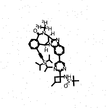 [2H]C([2H])([2H])N1C(=O)c2cccc(C#C[Si](C(C)C)(C(C)C)C(C)C)c2[C@H]2C[C@@H]1c1nc3ccc(-c4cnc(C5(N[S+]([O-])C(C)(C)C)CC(C)C5)nc4)cc3n12